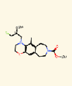 CO[C@H](CF)CN1CCOc2cc3c(c(C)c21)CCN(C(=O)OC(C)(C)C)CC3